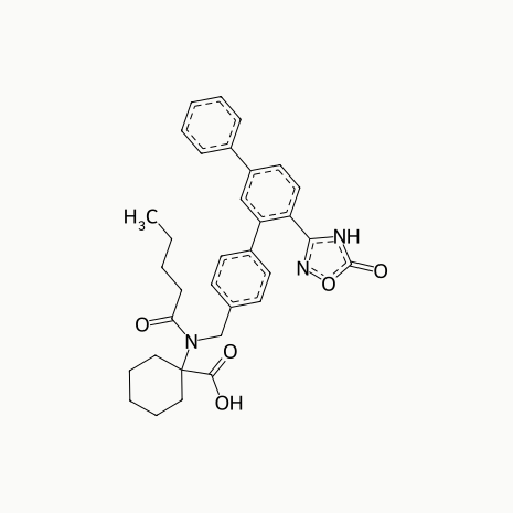 CCCCC(=O)N(Cc1ccc(-c2cc(-c3ccccc3)ccc2-c2noc(=O)[nH]2)cc1)C1(C(=O)O)CCCCC1